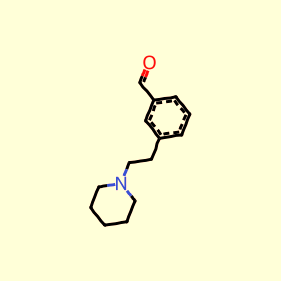 O=Cc1cccc(CCN2CCCCC2)c1